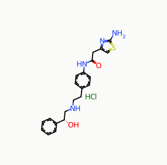 Cl.Nc1nc(CC(=O)Nc2ccc(CCNC[C@H](O)c3ccccc3)cc2)cs1